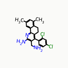 Cc1cc(C)c2c(c1)-c1nc(N)c(CN)c(-c3ccc(Cl)cc3Cl)c1CC2